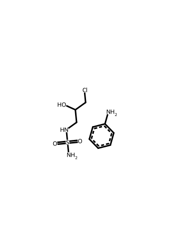 NS(=O)(=O)NCC(O)CCl.Nc1ccccc1